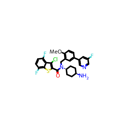 COc1ccc(-c2cncc(F)c2)cc1CN(C(=O)c1sc2c(F)ccc(F)c2c1Cl)[C@H]1CC[C@H](N)CC1